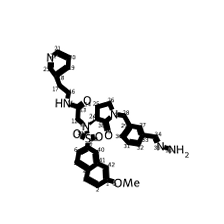 COc1ccc2ccc(S(=O)(=O)N(CC(=O)NCCc3cccnc3)[C@H]3CCN(Cc4cccc(C=NN)c4)C3=O)cc2c1